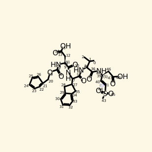 CC(C)[C@H](NC(=O)C(NC(=O)[C@H](CC(=O)O)NC(=O)OCc1ccccc1)C1Cc2ccccc2C1)C(=O)N[C@H](/C=C/S(C)(=O)=O)CC(=O)O